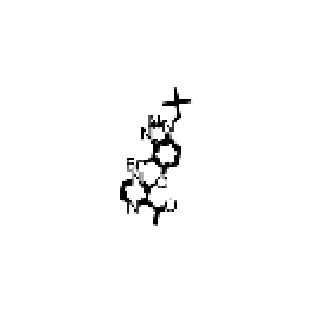 CC(=O)c1nccnc1Oc1ccc2c(nnn2CC(C)(C)C)c1Br